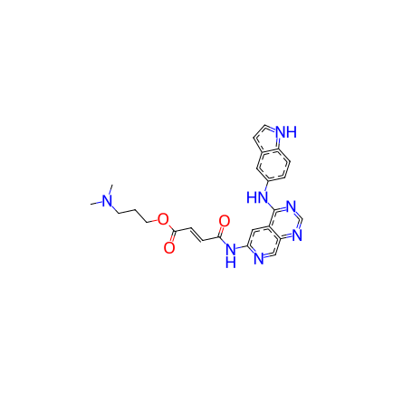 CN(C)CCCOC(=O)C=CC(=O)Nc1cc2c(Nc3ccc4[nH]ccc4c3)ncnc2cn1